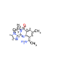 Cc1cc(C(C)N)c2nc(-c3nccn3C)n(C)c(=O)c2c1